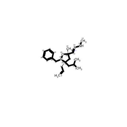 C=CC[C@@]1(CC(C)C)C[C@](C)(/C=N/NC)ON1Cc1ccccc1